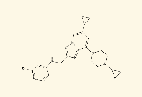 Brc1cc(NCc2cn3cc(C4CC4)cc(N4CCN(C5CC5)CC4)c3n2)ccn1